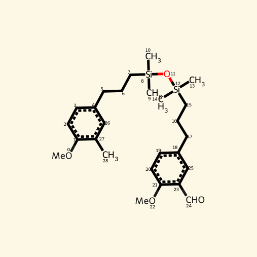 COc1ccc(CCC[Si](C)(C)O[Si](C)(C)CCCc2ccc(OC)c([3CH]=O)c2)cc1C